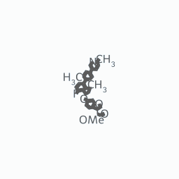 COC(=O)C[C@@H]1COc2cc(O[C@@H]3CCc4c(-c5c(C)cc(-c6ccc(C)nc6)cc5C)ccc(F)c43)ccc21